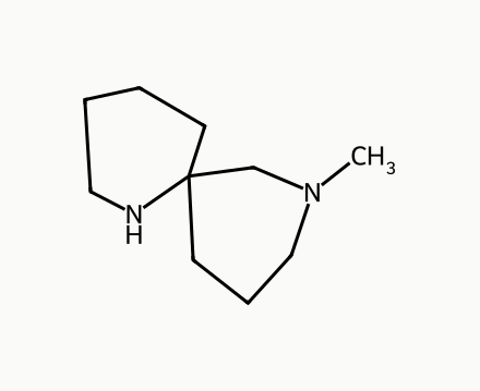 CN1CCCC2(CCCCN2)C1